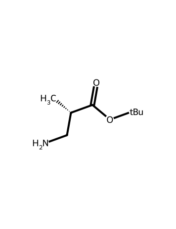 C[C@@H](CN)C(=O)OC(C)(C)C